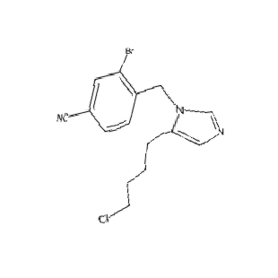 N#Cc1ccc(Cn2cncc2CCCCCl)c(Br)c1